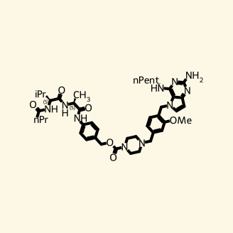 CCCCCNc1nc(N)nc2ccn(Cc3ccc(CN4CCN(C(=O)OCc5ccc(NC(=O)[C@H](C)NC(=O)[C@@H](NC(=O)CCC)C(C)C)cc5)CC4)cc3OC)c12